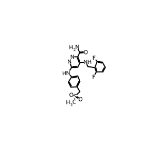 CS(=O)(=O)Cc1ccc(Nc2cc(NCc3c(F)cccc3F)c(C(N)=O)nn2)cc1